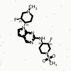 CN1CC[C@H](n2ccc3cnc(N[C@@H]4CCN(S(C)(=O)=O)C[C@H]4F)nc32)[C@@H](F)C1